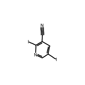 N#Cc1cc(I)cnc1I